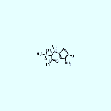 C[C@H](c1ccc(Cl)c(N)c1)C(C(=O)O)C(C)(C)C